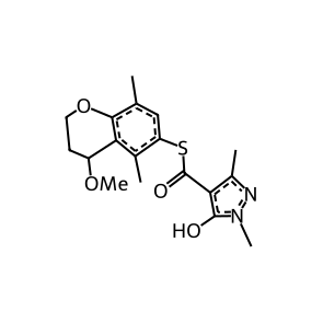 COC1CCOc2c(C)cc(SC(=O)c3c(C)nn(C)c3O)c(C)c21